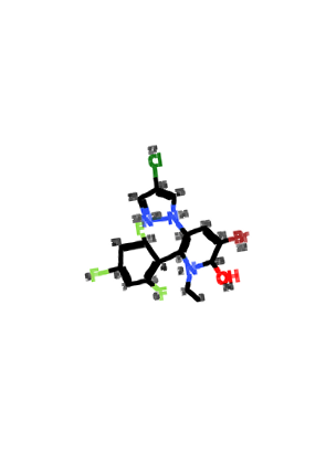 CCN1C(c2c(F)cc(F)cc2F)=C(n2cc(Cl)cn2)C=C(Br)C1O